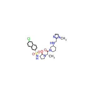 C[C@@H](C(=O)N1CCCC(NCc2nccn2C)C1)N1CC[C@H](NS(=O)(=O)c2ccc3cc(Cl)ccc3c2)C1=O